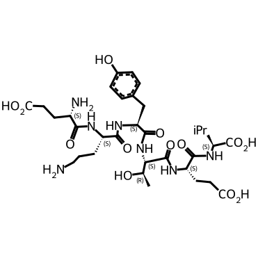 CC(C)[C@H](NC(=O)[C@H](CCC(=O)O)NC(=O)[C@@H](NC(=O)[C@H](Cc1ccc(O)cc1)NC(=O)[C@H](CCCN)NC(=O)[C@@H](N)CCC(=O)O)[C@@H](C)O)C(=O)O